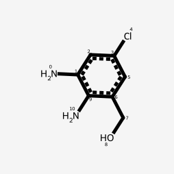 Nc1cc(Cl)cc(CO)c1N